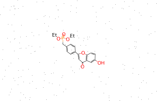 CCOP(=O)(Cc1ccc(-c2cc(=O)c3cc(O)ccc3o2)cc1)OCC